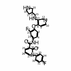 O=C(Nc1ccc(Oc2ccncc2NCC2CCNC2)c(F)c1)c1cccn(-c2ccc(F)cc2)c1=O